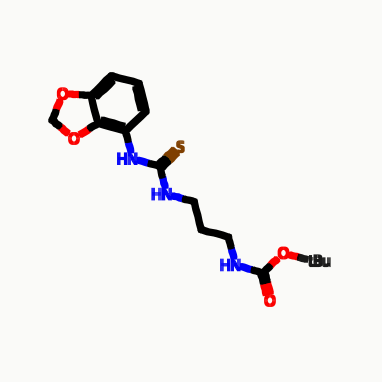 CC(C)(C)OC(=O)NCCCNC(=S)Nc1cccc2c1OCO2